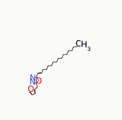 CCCCCCCCCCCCCCCC=Cc1nnc(Cc2ccco2)o1